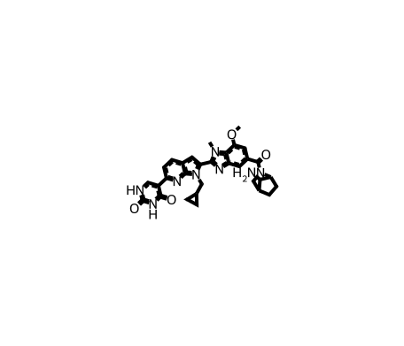 COc1cc(C(=O)N2CC3CCC2C3N)cc2nc(-c3cc4ccc(-c5c[nH]c(=O)[nH]c5=O)nc4n3CC3CC3)n(C)c12